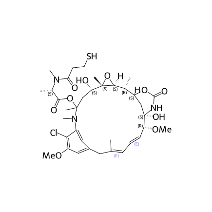 COc1cc2cc(c1Cl)N(C)C(C)(OC(=O)[C@H](C)N(C)C(=O)CCS)C[C@H](O)[C@]1(C)O[C@H]1[C@H](C)[C@@H]1C[C@@](O)(NC(=O)O1)[C@H](OC)/C=C/C=C(\C)C2